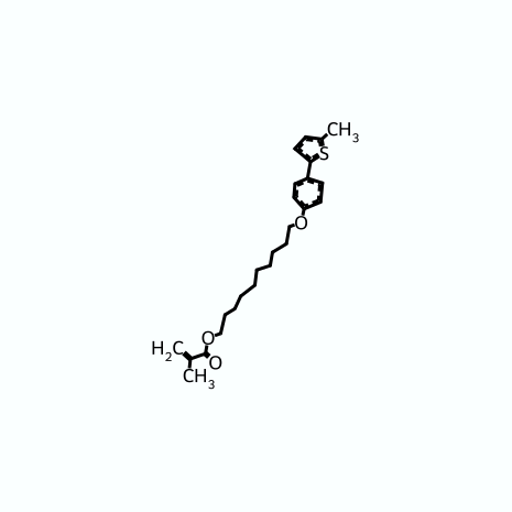 C=C(C)C(=O)OCCCCCCCCCCOc1ccc(-c2ccc(C)s2)cc1